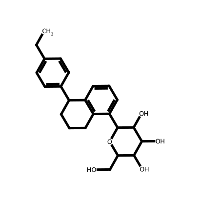 CCc1ccc(C2CCCc3c2cccc3C2OC(CO)C(O)C(O)C2O)cc1